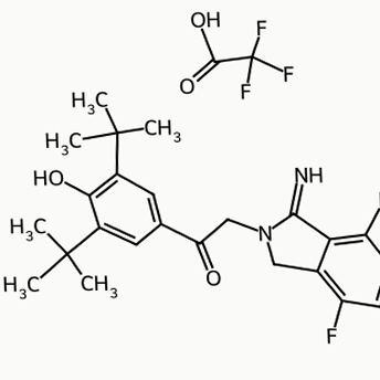 CC(C)(C)c1cc(C(=O)CN2Cc3c(F)ccc(F)c3C2=N)cc(C(C)(C)C)c1O.O=C(O)C(F)(F)F